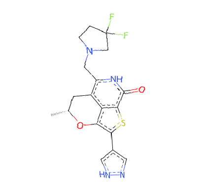 C[C@@H]1Cc2c(CN3CCC(F)(F)C3)[nH]c(=O)c3sc(-c4cn[nH]c4)c(c23)O1